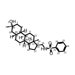 C[C@@]1(O)CC[C@H]2[C@H](CC[C@@H]3[C@@H]2CC[C@]2(C)[C@@H](CNS(=O)(=O)c4ccccc4)CC[C@@H]32)C1